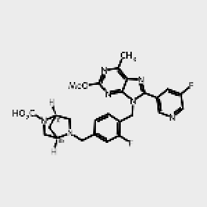 COc1nc(C)c2nc(-c3cncc(F)c3)n(Cc3ccc(CN4C[C@@H]5C[C@H]4CN5C(=O)O)cc3F)c2n1